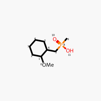 COC1CCCCC1CP(C)(=O)O